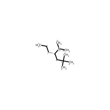 CCC[C@@H](CC(C)(C)C)N(C)C